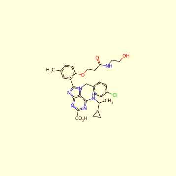 Cc1ccc(OCCC(=O)NCCO)c(-c2nc3nc(C(=O)O)nc(NC(C)C4CC4)c3n2Cc2ccc(Cl)cc2)c1